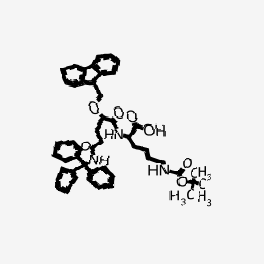 CC(C)(C)OC(=O)NCCCCC(NC(=O)C(CCC(=O)NC(c1ccccc1)(c1ccccc1)c1ccccc1)OCC1c2ccccc2-c2ccccc21)C(=O)O